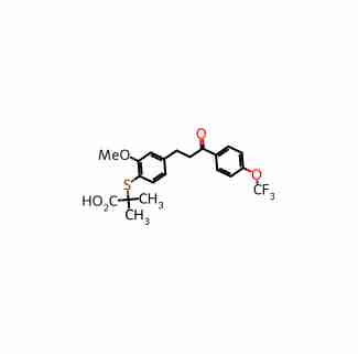 COc1cc(CCC(=O)c2ccc(OC(F)(F)F)cc2)ccc1SC(C)(C)C(=O)O